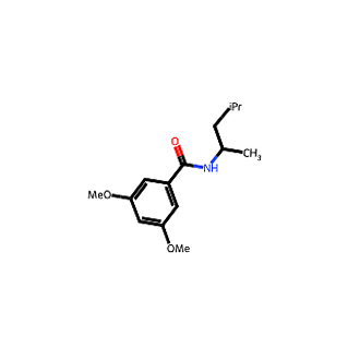 COc1cc(OC)cc(C(=O)NC(C)CC(C)C)c1